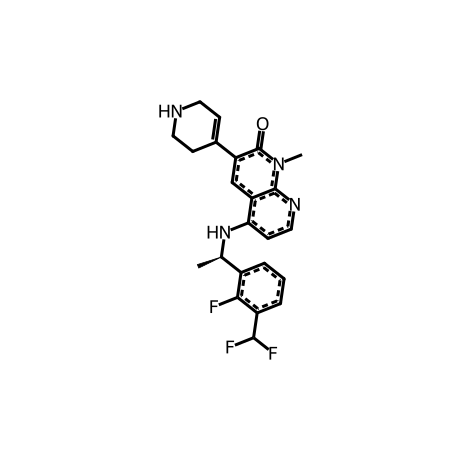 C[C@@H](Nc1ccnc2c1cc(C1=CCNCC1)c(=O)n2C)c1cccc(C(F)F)c1F